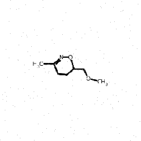 COCC1CCC(C)=NO1